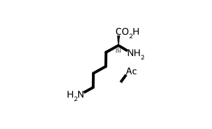 CC(C)=O.NCCCC[C@H](N)C(=O)O